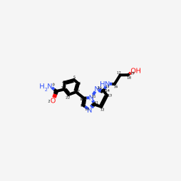 NC(=O)c1cccc(-c2cnc3ccc(NCCCO)nn23)c1